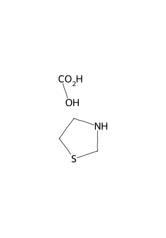 C1CSCN1.O=C(O)O